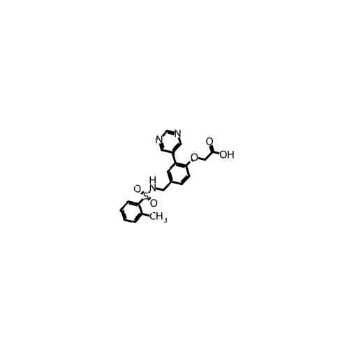 Cc1ccccc1S(=O)(=O)NCc1ccc(OCC(=O)O)c(-c2cncnc2)c1